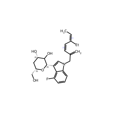 C=C(/C=C\C(=C/C)CC)Cn1cc([C@@H]2O[C@H](CO)C[C@H](O)C2O)c2c(F)cccc21